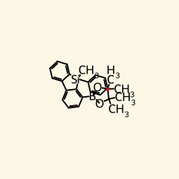 CC1(C)OB(c2cccc3c2[Si](C)(c2ccccc2)c2ccccc2-3)OC1(C)C